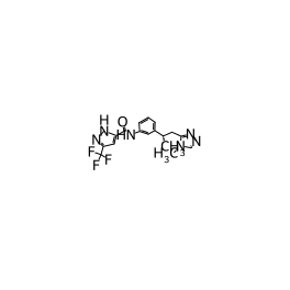 C[C@H](Cc1nncn1C)c1cccc(NC(=O)c2cc(C(F)(F)F)n[nH]2)c1